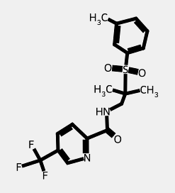 Cc1cccc(S(=O)(=O)C(C)(C)CNC(=O)c2ccc(C(F)(F)F)cn2)c1